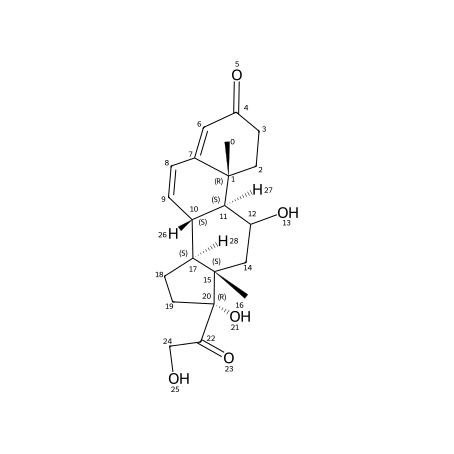 C[C@]12CCC(=O)C=C1C=C[C@@H]1[C@@H]2C(O)C[C@@]2(C)[C@H]1CC[C@]2(O)C(=O)CO